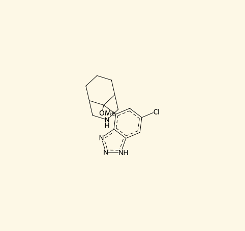 COC1(c2cc(Cl)cc3[nH]nnc23)C2CCCC1CNC2